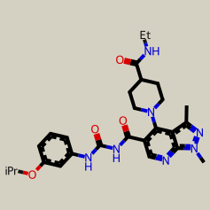 CCNC(=O)C1CCN(c2c(C(=O)NC(=O)Nc3cccc(OC(C)C)c3)cnc3c2c(C)nn3C)CC1